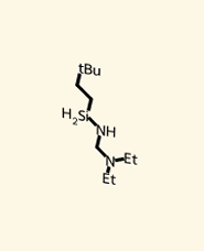 CCN(CC)CN[SiH2]CCC(C)(C)C